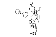 CCC(=O)[C@@]1(C#CCO)CC[C@H]2[C@@H]3CC(F)C4=CC(=O)CCC4=C3[C@@H](c3ccc(N4CCCC4)cc3)C[C@@]21C